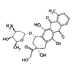 Cc1cccc2c1C(=O)c1c(O)c3c(c(O)c1C2=O)C[C@@](O)(C(=O)CO)C[C@@H]3O[C@H]1C[C@H](N)[C@H](O)[C@H](C)O1